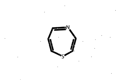 [C]1=CN=CC=CS1